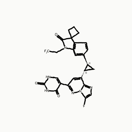 O=C1N(CC(F)(F)F)c2cc([C@H]3C[C@@H]3c3cc(-c4c[nH]c(=O)[nH]c4=O)nn4c(F)cnc34)ccc2C12CCC2